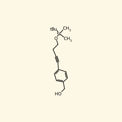 CC(C)(C)[Si](C)(C)OCCC#Cc1ccc(CO)cc1